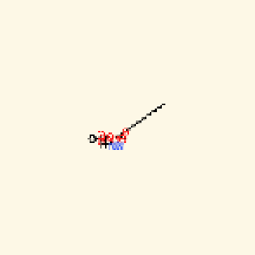 CCCCCCCCCCCCCCCCOCC(CO[C@@H]1OC2COC(c3ccccc3)O[C@@H]2[C@H](C)C1N=[N+]=[N-])OC